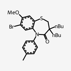 CCCCC1(CCCC)CSc2cc(OC)c(Br)cc2N(c2ccc(C)cc2)C1=O